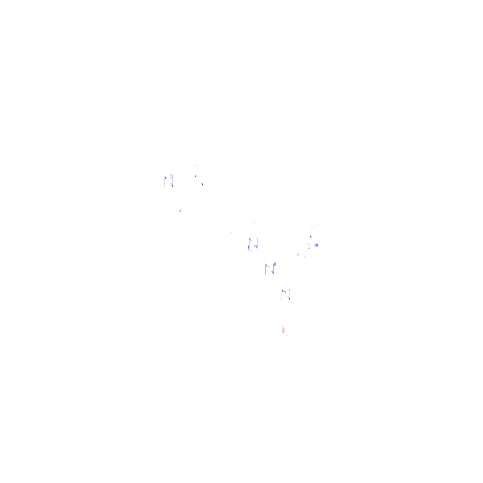 c1cnc(CC2CCC3(CC2)CN(c2nc(N4CCOCC4)cc4ncccc24)C3)nc1